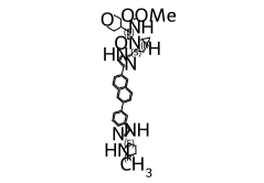 COC(=O)N[C@H](C(=O)N1C2C[C@@H]2C[C@H]1c1nc(-c2ccc3cc(-c4ccc5nc([C@@H]6CC[C@@H](C)N6)[nH]c5c4)ccc3c2)c[nH]1)C1CCOCC1